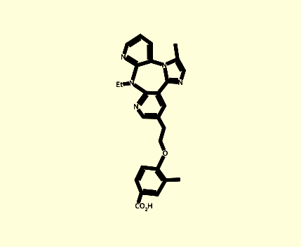 CCN1c2ncc(CCOc3ccc(C(=O)O)cc3C)cc2-c2ncc(C)n2-c2cccnc21